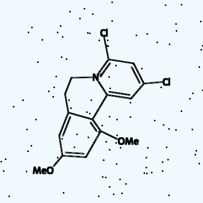 COc1cc2c(c(OC)c1)-c1cc(Cl)cc(Cl)[n+]1CC2